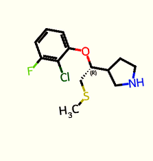 CSC[C@H](Oc1cccc(F)c1Cl)C1CCNC1